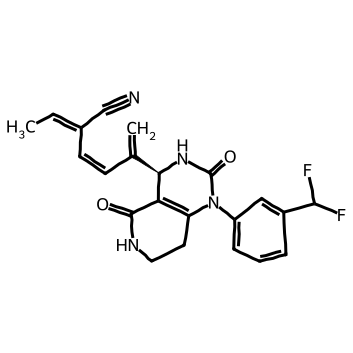 C=C(/C=C\C(C#N)=C/C)[C@H]1NC(=O)N(c2cccc(C(F)F)c2)C2=C1C(=O)NCC2